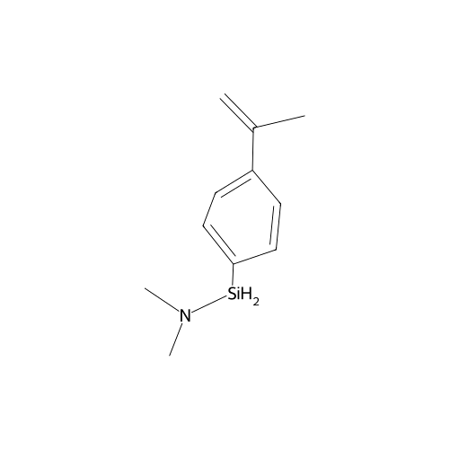 C=C(C)c1ccc([SiH2]N(C)C)cc1